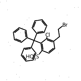 O=S(=O)(O)c1ccc(CCBr)c(Cl)c1C(c1ccccc1)(c1ccccc1)c1ccccc1